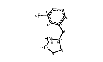 Fc1cccc(C[C@H]2CCON2)c1